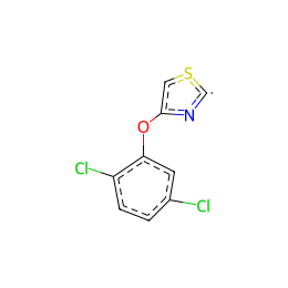 Clc1ccc(Cl)c(Oc2cs[c]n2)c1